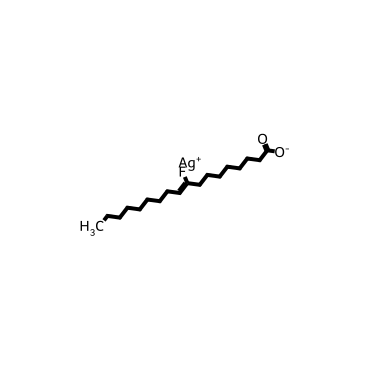 CCCCCCCCC=C(F)CCCCCCCC(=O)[O-].[Ag+]